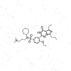 CCCc1nc(CC)c2c(=O)[nH]c(-c3cc(S(=O)(=O)N(CCCN(C)C)C4CCCCC4)ccc3OCC)nn12